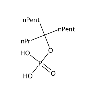 CCCCCC(CCC)(CCCCC)OP(=O)(O)O